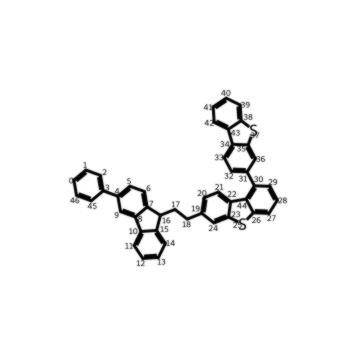 c1ccc(-c2ccc3c(c2)-c2ccccc2C3CCc2ccc3c(c2)sc2cccc(-c4ccc5c(c4)sc4ccccc45)c23)cc1